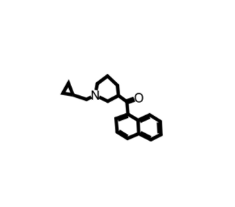 O=C(c1cccc2ccccc12)C1CCCN(CC2CC2)C1